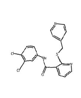 O=C(Nc1ccc(Cl)c(Cl)c1)c1cccnc1SCc1ccncc1